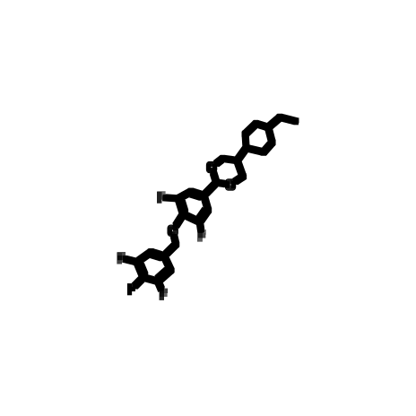 CCC1CCC(C2COC(c3cc(F)c(OCc4cc(F)c(F)c(F)c4)c(F)c3)OC2)CC1